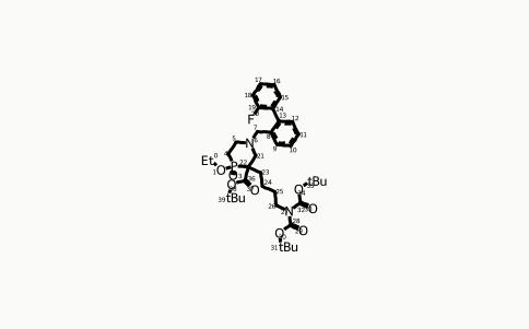 CCOP1(=O)CCN(Cc2ccccc2-c2ccccc2F)CC1(CCCCN(C(=O)OC(C)(C)C)C(=O)OC(C)(C)C)C(=O)OC(C)(C)C